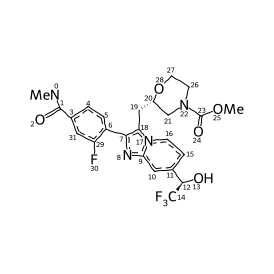 CNC(=O)c1ccc(-c2nc3cc([C@@H](O)C(F)(F)F)ccn3c2C[C@H]2CN(C(=O)OC)CCO2)c(F)c1